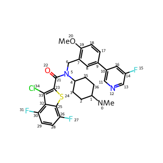 CNC1CCC(N(Cc2cc(-c3cncc(F)c3)ccc2OC)C(=O)c2sc3c(F)ccc(F)c3c2Cl)CC1